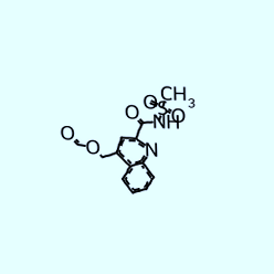 CS(=O)(=O)NC(=O)c1cc(COC=O)c2ccccc2n1